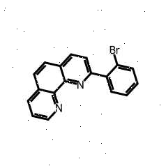 Brc1ccccc1-c1ccc2ccc3cccnc3c2n1